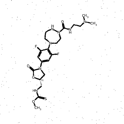 COC(=S)NC[C@H]1CN(c2cc(F)c(N3CCNN(C(=O)NCCN(C)C)CC3)c(F)c2)C(=O)O1